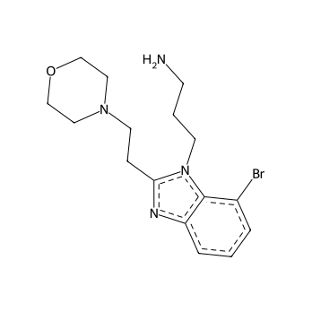 NCCCn1c(CCN2CCOCC2)nc2cccc(Br)c21